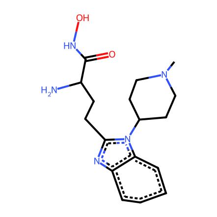 CN1CCC(n2c(CCC(N)C(=O)NO)nc3ccccc32)CC1